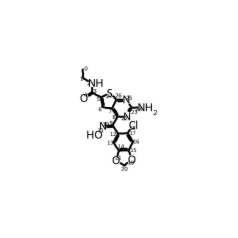 CCNC(=O)c1cc2c(C(=NO)c3cc4c(cc3Cl)OCO4)nc(N)nc2s1